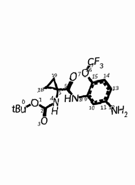 CC(C)(C)OC(=O)NC1(C(=O)Nc2cc(N)ccc2OC(F)(F)F)CC1